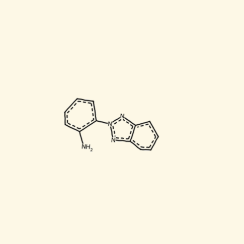 Nc1ccccc1-n1nc2ccccc2n1